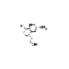 CCN1CCN(CCO)c2cc(N)cnc21